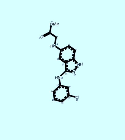 COC(=O)CNc1ccc2[nH]nc(Nc3cccc(Cl)c3)c2c1